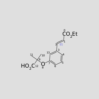 CCOC(=O)/C=C/c1cccc(OC(C)(C)C(=O)O)c1